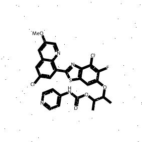 COc1cnc2c(-c3nc4c(Cl)c(F)c(OC(C)C(C)OC(=O)Nc5ccncc5)cc4s3)cc(Cl)cc2c1